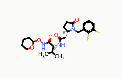 CC(C)[C@@H](NC(=O)C[C@@H]1CCC(=O)N1Cc1cccc(F)c1F)C(=O)NOC1CCCCO1